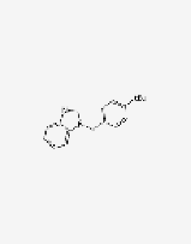 CC(C)(C)c1ccc(Cn2cnc3ccccc32)cc1